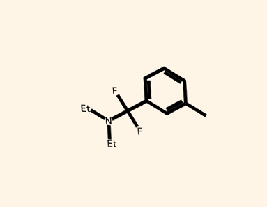 CCN(CC)C(F)(F)c1cccc(C)c1